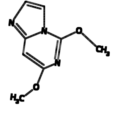 COc1cc2nccn2c(OC)n1